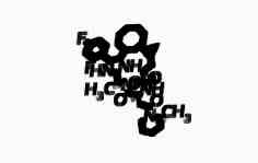 C[C@H](NC(=O)[C@H](CC(=O)N1CCCC[C@@H]1C)NS(=O)(=O)CCC1CC1)C1NC(c2ccc(F)cc2F)C(C2CCCCCCC2)N1